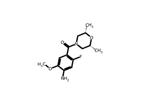 COc1cc(C(=O)N2C[C@@H](C)O[C@@H](C)C2)c(F)cc1N